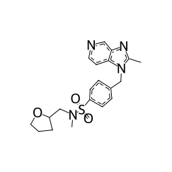 Cc1nc2cnccc2n1Cc1ccc(S(=O)(=O)N(C)CC2CCCO2)cc1